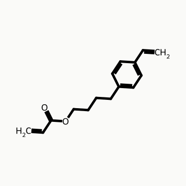 C=CC(=O)OCCCCc1ccc(C=C)cc1